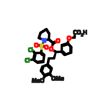 COc1ccc(CC[C@@H](OC(=O)C2CCCCN2S(=O)(=O)c2cccc(Cl)c2Cl)c2cccc(OCC(=O)O)c2)cc1OC